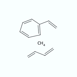 C.C=CC=C.C=Cc1ccccc1